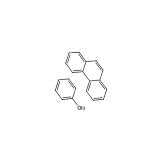 Oc1ccccc1.c1ccc2c(c1)ccc1ccccc12